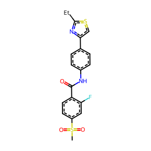 CCc1nc(-c2ccc(NC(=O)c3ccc(S(C)(=O)=O)cc3F)cc2)cs1